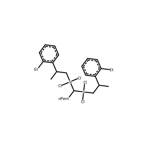 CCCCCC([Si](Cl)(Cl)CC(C)c1ccccc1CC)[Si](Cl)(Cl)CC(C)c1ccccc1CC